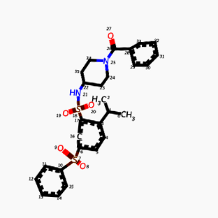 CC(C)c1ccc(S(=O)(=O)c2ccccc2)cc1S(=O)(=O)NC1CCN(C(=O)c2ccccc2)CC1